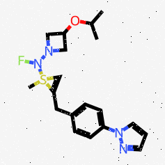 CC(C)OC1CN(N(F)S2(C)C=C2Cc2ccc(-n3cccn3)cc2)C1